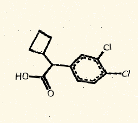 O=C(O)C(c1ccc(Cl)c(Cl)c1)C1CCC1